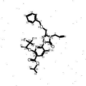 C=CCn1c(COCc2ccccc2)nn(-c2nc(O[C@@H](C)C(F)(F)F)c(C(=O)OC(C)C)cc2F)c1=O